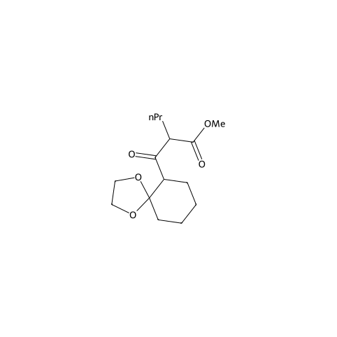 CCCC(C(=O)OC)C(=O)C1CCCCC12OCCO2